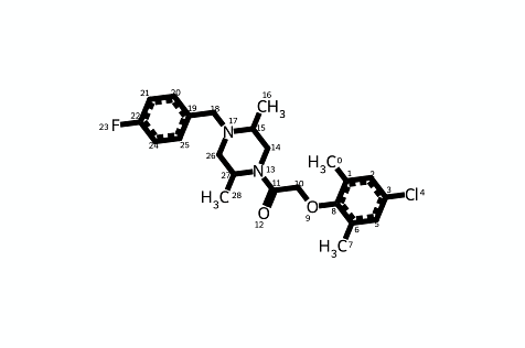 Cc1cc(Cl)cc(C)c1OCC(=O)N1CC(C)N(Cc2ccc(F)cc2)CC1C